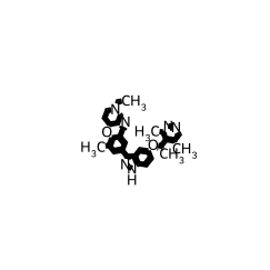 CCN1CCC(Oc2c(C)cc(-c3n[nH]c4ccc(O[C@H](C)c5c(C)cnnc5C)cc34)cc2C#N)CC1